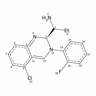 CCC(N)[C@@H]1N=c2cccc(Cl)c2=CN1c1ccccc1F